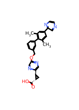 Cc1cc(-c2cnccn2)cc(C)c1-c1cccc(COc2cnc([C@H]3C[C@@H]3C(=O)O)cn2)c1